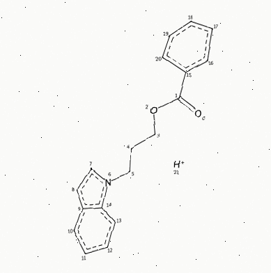 O=C(OCCCn1ccc2ccccc21)c1ccccc1.[H+]